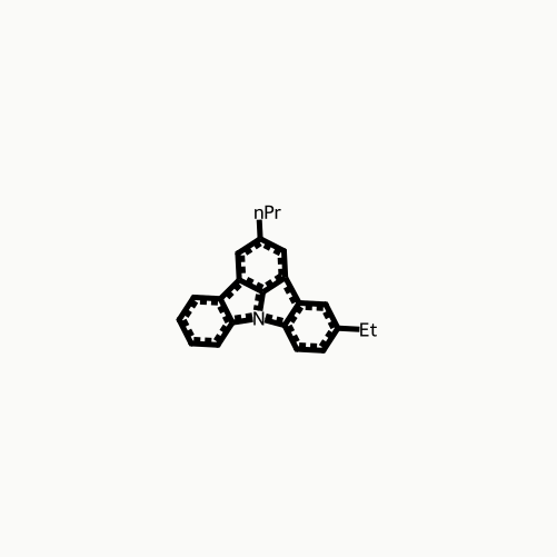 CCCc1cc2c3ccccc3n3c4ccc(CC)cc4c(c1)c23